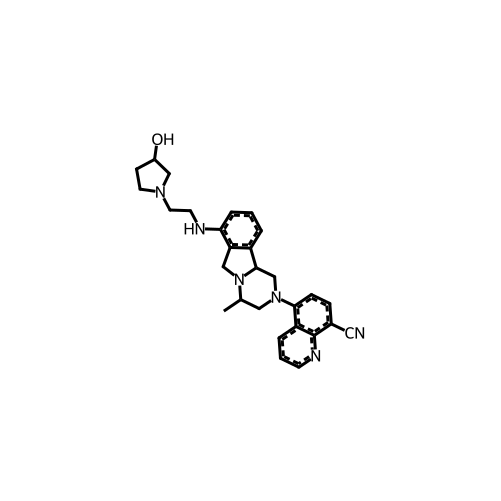 CC1CN(c2ccc(C#N)c3ncccc23)CC2c3cccc(NCCN4CCC(O)C4)c3CN12